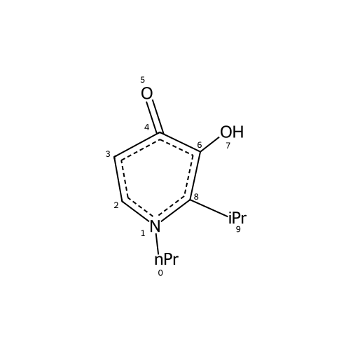 CCCn1ccc(=O)c(O)c1C(C)C